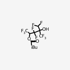 CCC(C)C(=O)OC(C(F)(F)F)C(F)(F)C(O)(C(F)F)C(F)(F)F